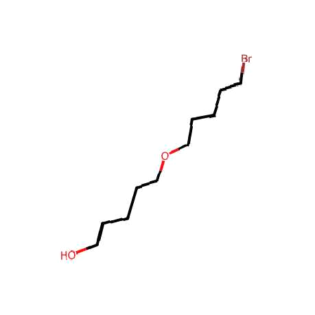 OCCCCCOCCCCCBr